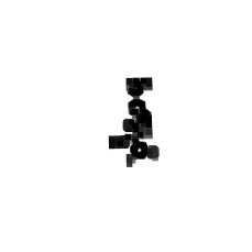 COc1cc(F)cc([C@@H](CO)NC(=O)c2ncc3cc(-c4cn[nH]c4)ccn23)c1